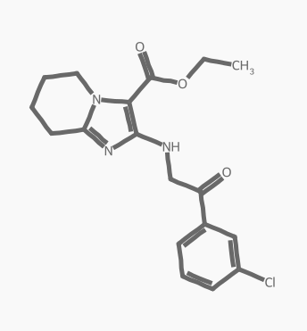 CCOC(=O)c1c(NCC(=O)c2cccc(Cl)c2)nc2n1CCCC2